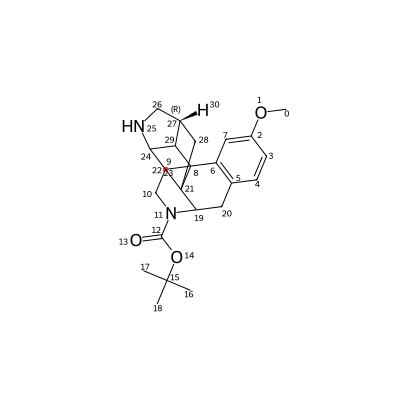 COc1ccc2c(c1)C13CCN(C(=O)OC(C)(C)C)C(C2)C12CCC1NC[C@H](C2)C13